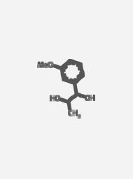 COc1cccc(C(O)C(C)O)c1